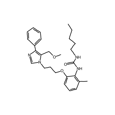 CCCCCNC(=O)Nc1c(C)cccc1OCCCn1cnc(-c2ccccc2)c1COC